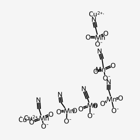 N#[C][Mn](=[O])(=[O])[O-].N#[C][Mn](=[O])(=[O])[O-].N#[C][Mn](=[O])(=[O])[O-].N#[C][Mn](=[O])(=[O])[O-].N#[C][Mn](=[O])(=[O])[O-].N#[C][Mn](=[O])(=[O])[O-].[Cu+2].[Cu+2].[Cu+2]